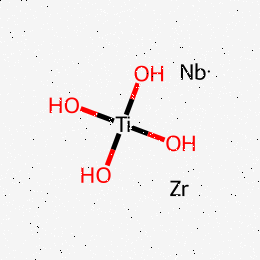 [Nb].[OH][Ti]([OH])([OH])[OH].[Zr]